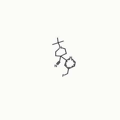 CC(C)(C)N1CCC(C#N)(c2cc(CF)ccn2)CC1